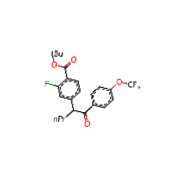 CCCC(C(=O)c1ccc(OC(F)(F)F)cc1)c1ccc(C(=O)OC(C)(C)C)c(F)c1